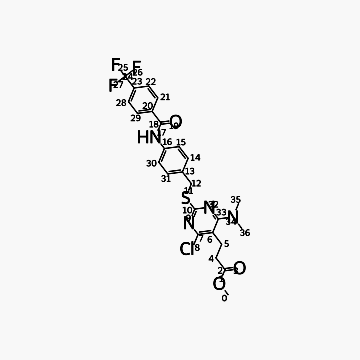 COC(=O)CCc1c(Cl)nc(SCc2ccc(NC(=O)c3ccc(C(F)(F)F)cc3)cc2)nc1N(C)C